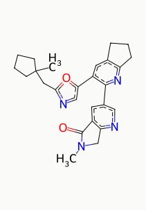 CN1Cc2ncc(-c3nc4c(cc3-c3cnc(CC5(C)CCCC5)o3)CCC4)cc2C1=O